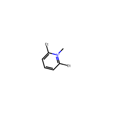 CCc1cccc(CC)[n+]1C